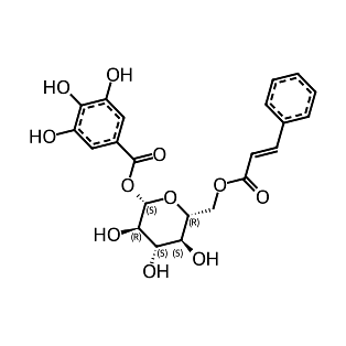 O=C(C=Cc1ccccc1)OC[C@H]1O[C@@H](OC(=O)c2cc(O)c(O)c(O)c2)[C@H](O)[C@@H](O)[C@@H]1O